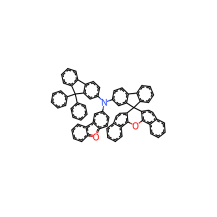 c1ccc(C2(c3ccccc3)c3ccccc3-c3ccc(N(c4ccc5c(c4)C4(c6ccccc6-5)c5ccc6ccccc6c5Oc5c4ccc4ccccc54)c4ccc5oc6ccccc6c5c4)cc32)cc1